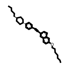 CCCCCCCOc1ccc2cc(C#Cc3ccc([C@H]4CC[C@H](CCCCC)CC4)cc3)ccc2c1